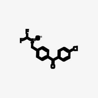 O=C(c1ccc(Cl)cc1)c1ccc(C[S+]([O-])C(F)F)cc1